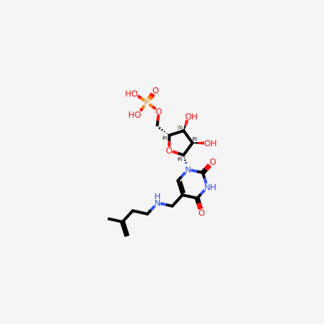 C=C(C)CCNCc1cn([C@@H]2O[C@H](COP(=O)(O)O)[C@@H](O)[C@H]2O)c(=O)[nH]c1=O